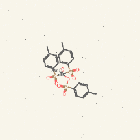 C[O][Ti](=[O])([O]S(=O)(=O)c1ccc(C)cc1)([S](=O)(=O)c1ccc(C)cc1)[S](=O)(=O)c1ccc(C)cc1